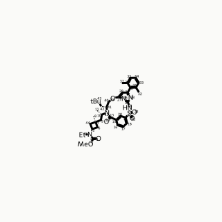 CCN(C(=O)OC)[C@H]1C[C@](C)(C[C@H](C)N2C(=O)c3cccc(c3)S(=O)(=O)Nc3nc(cc(-c4c(C)cccc4C)n3)OC[C@H]2CC(C)(C)C)C1